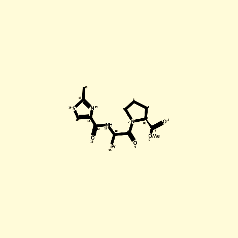 COC(=O)[C@@H]1CCCN1C(=O)C(NC(=O)c1csc(C)n1)C(C)C